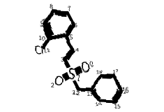 O=S(=O)(C=Cc1ccccc1Cl)Cc1ccccc1